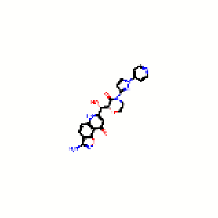 Nc1noc2c1ccc1[nH]c([C@H](O)[C@H]3OCCN(c4ccn(-c5ccncc5)n4)C3=O)cc(=O)c12